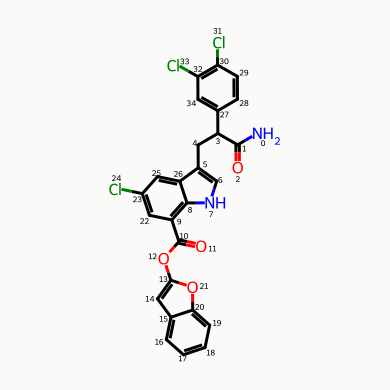 NC(=O)C(Cc1c[nH]c2c(C(=O)Oc3cc4ccccc4o3)cc(Cl)cc12)c1ccc(Cl)c(Cl)c1